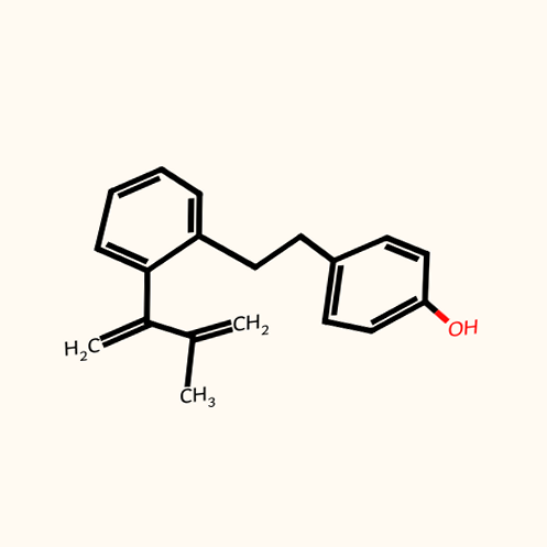 C=C(C)C(=C)c1ccccc1CCc1ccc(O)cc1